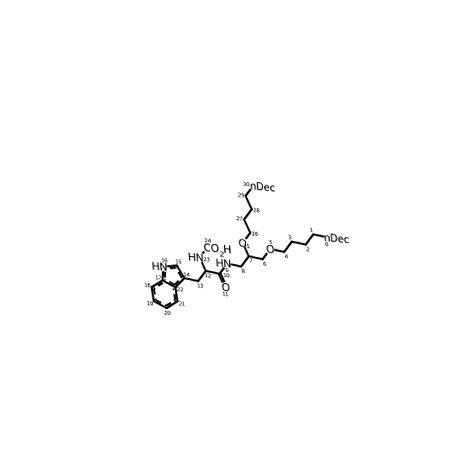 CCCCCCCCCCCCCCOCC(CNC(=O)C(Cc1c[nH]c2ccccc12)NC(=O)O)OCCCCCCCCCCCCCC